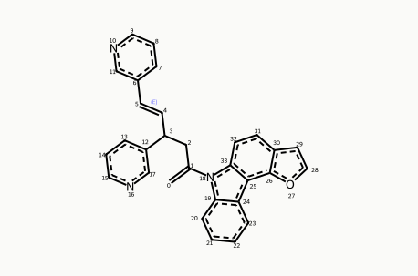 C=C(CC(/C=C/c1cccnc1)c1cccnc1)n1c2ccccc2c2c3occc3ccc21